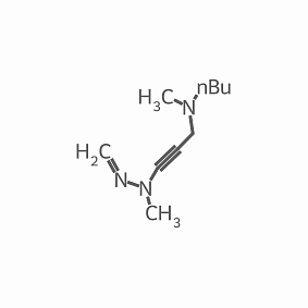 C=NN(C)C#CCN(C)CCCC